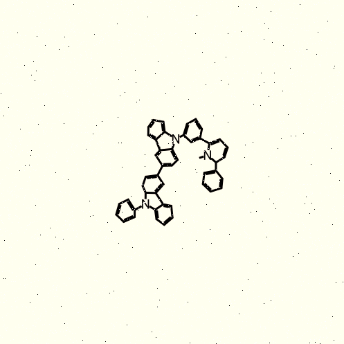 CN1C(c2cccc(-n3c4ccccc4c4cc(C5=CCC6C(=C5)c5ccccc5N6c5ccccc5)ccc43)c2)=CC=CC1c1ccccc1